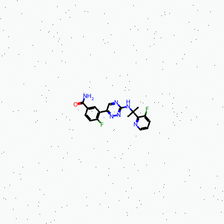 CC(C)(Nc1ncc(-c2cc(C(N)=O)ccc2F)nn1)c1ncccc1F